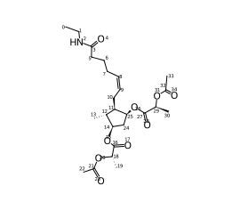 CCNC(=O)CCC/C=C\C[C@@H]1[C@@H](C)[C@H](OC(=O)[C@H](C)OC(C)=O)C[C@@H]1OC(=O)[C@H](C)OC(C)=O